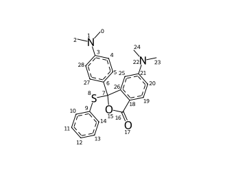 CN(C)c1ccc(C2(Sc3ccccc3)OC(=O)c3ccc(N(C)C)cc32)cc1